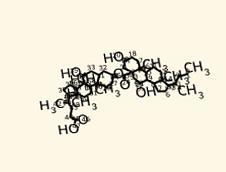 CCC[C@@H](C)[C@H]1CCC2C3C(CC[C@@]21C)[C@@]1(C)CC[C@@H](O)CC1(C(=O)O[C@@H]1CC[C@@]2(C)C(C1)C[C@@H](O)[C@H]1[C@@H]4CC[C@H]([C@H](C)CCC(=O)O)[C@@]4(C)CC[C@@H]12)C[C@H]3O